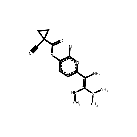 CN/C(=C(/N)c1ccc(NC(=O)C2(C#N)CC2)c(Cl)n1)N(C)N